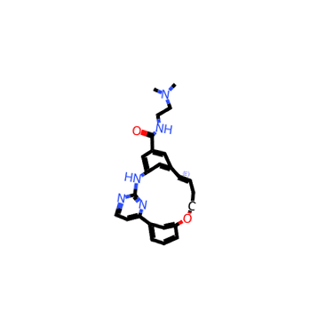 CN(C)CCNC(=O)c1cc2cc(c1)Nc1nccc(n1)-c1cccc(c1)OCC/C=C/2